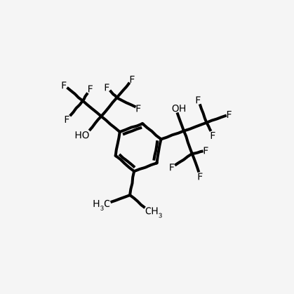 CC(C)c1cc(C(O)(C(F)(F)F)C(F)(F)F)cc(C(O)(C(F)(F)F)C(F)(F)F)c1